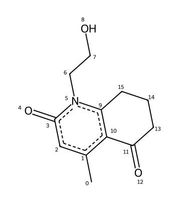 Cc1cc(=O)n(CCO)c2c1C(=O)CCC2